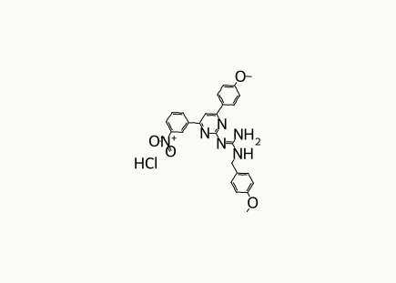 COc1ccc(CNC(N)=Nc2nc(-c3ccc(OC)cc3)cc(-c3cccc([N+](=O)[O-])c3)n2)cc1.Cl